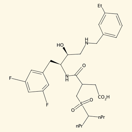 CCCC(CCC)S(=O)(=O)CC(CC(=O)O)C(=O)N[C@@H](Cc1cc(F)cc(F)c1)[C@@H](O)CNCc1cccc(CC)c1